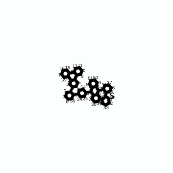 c1ccc(-c2ccc3c4ccccc4c4ccccc4c3c2)c(-c2ccc(-c3c4ccccc4c(-c4cccc5sc6ccccc6c45)c4ccccc34)cc2)c1